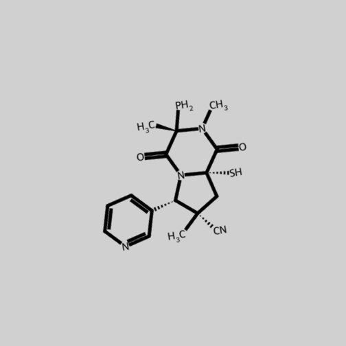 CN1C(=O)[C@@]2(S)C[C@](C)(C#N)[C@H](c3cccnc3)N2C(=O)[C@]1(C)P